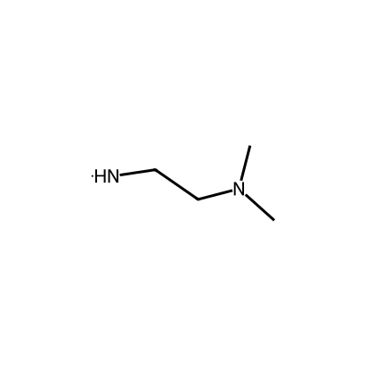 CN(C)CC[NH]